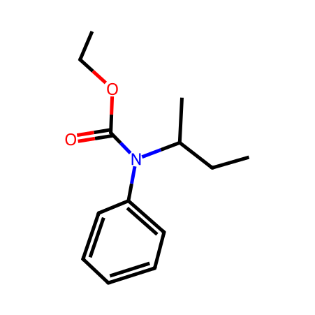 CCOC(=O)N(c1ccccc1)C(C)CC